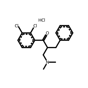 CN(C)CC(Cc1ccccc1)C(=O)c1cccc(Cl)c1Cl.Cl